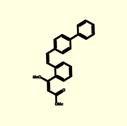 COC(=O)/C=C(/OC)c1ccccc1/C=C\c1ccc(-c2ccccc2)cc1